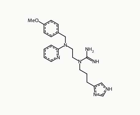 COc1ccc(CN(CCN(CCCc2c[nH]cn2)C(=N)N)c2ccccn2)cc1